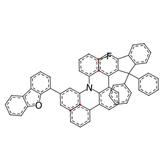 Fc1cccc(N(c2cccc(-c3cccc4c3oc3ccccc34)c2)c2c(-c3ccccc3)cccc2-c2cccc3c2C(c2ccccc2)(c2ccccc2)c2ccccc2-3)c1